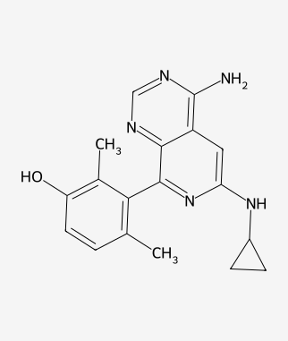 Cc1ccc(O)c(C)c1-c1nc(NC2CC2)cc2c(N)ncnc12